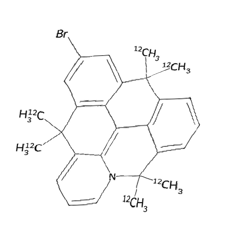 [12CH3]C1([12CH3])C2=CC=CN3C2=C2c4c1cc(Br)cc4C([12CH3])([12CH3])c1cccc(c12)C3([12CH3])[12CH3]